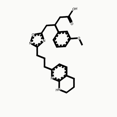 COc1cccc(C(CC(=O)O)Cc2nc(CCCc3ccc4c(n3)NCCC4)no2)c1